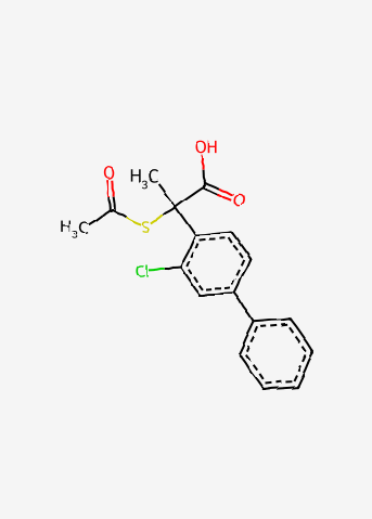 CC(=O)SC(C)(C(=O)O)c1ccc(-c2ccccc2)cc1Cl